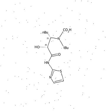 CCCC[C@@H]([C@@H](O)C(=O)Nc1nccs1)N(C(=O)O)C(C)(C)C